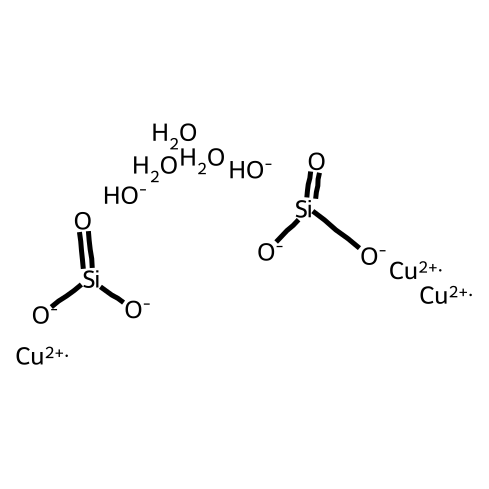 O.O.O.O=[Si]([O-])[O-].O=[Si]([O-])[O-].[Cu+2].[Cu+2].[Cu+2].[OH-].[OH-]